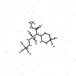 COC(=O)C(C1CCC(F)(F)CC1)S(=O)(=O)CCC(F)(F)F